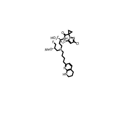 CO[C@H](CF)CN(CCCCc1ccc2c(n1)NCCC2)CC[C@H](NC(=O)C1(n2nc(Cl)cc2C)CC1)C(=O)O